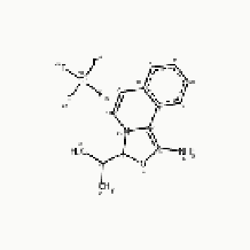 CC(C)C1OC([NH3+])=C2c3ccccc3C=CN21.F[B-](F)(F)F